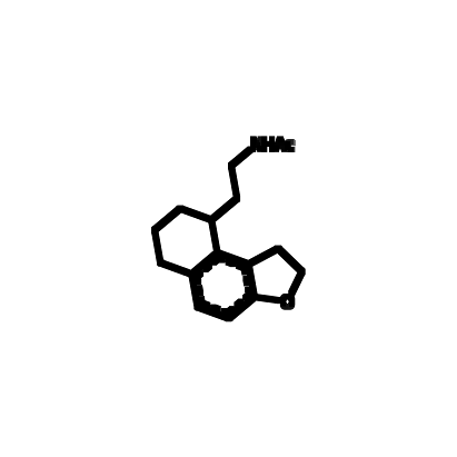 CC(=O)NCCC1CCCc2ccc3c(c21)CCO3